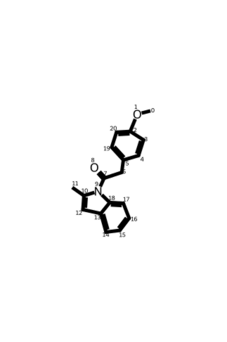 COc1ccc(CC(=O)n2c(C)cc3ccccc32)cc1